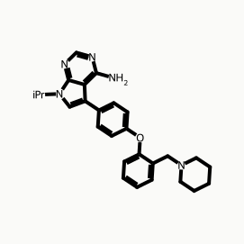 CC(C)n1cc(-c2ccc(Oc3ccccc3CN3CCCCC3)cc2)c2c(N)ncnc21